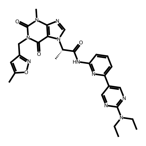 CCN(CC)c1ncc(-c2cccc(NC(=O)[C@H](C)n3cnc4c3c(=O)n(Cc3cc(C)on3)c(=O)n4C)n2)cn1